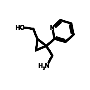 NCC1(c2ccccn2)CC1CO